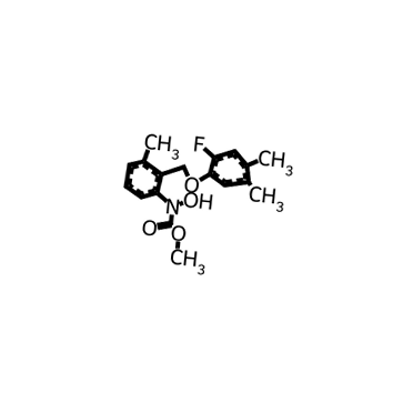 COC(=O)N(O)c1cccc(C)c1COc1cc(C)c(C)cc1F